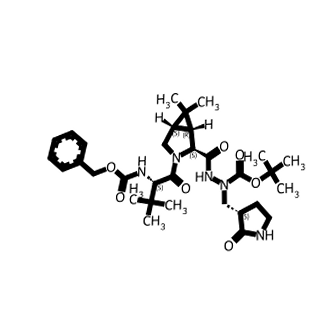 CC(C)(C)OC(=O)N(C[C@@H]1CCNC1=O)NC(=O)[C@@H]1[C@@H]2[C@H](CN1C(=O)[C@@H](NC(=O)OCc1ccccc1)C(C)(C)C)C2(C)C